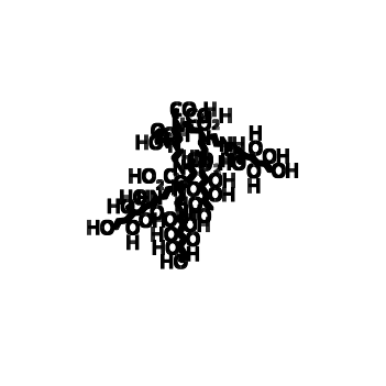 O=C(O)CN(CCN(CCN(CC(=O)O)[C@@H](CC(=O)N(CCNOCC(O)C(O)C(O)C(O)CO)CCNOCC(O)C(O)C(O)C(O)CO)C(=O)O)CP(=O)(O)O)C(CCON(CCNC(=O)C(O)C(O)C(O)C(O)CO)CCNC(=O)C(O)C(O)C(O)C(O)CCO)C(=O)O